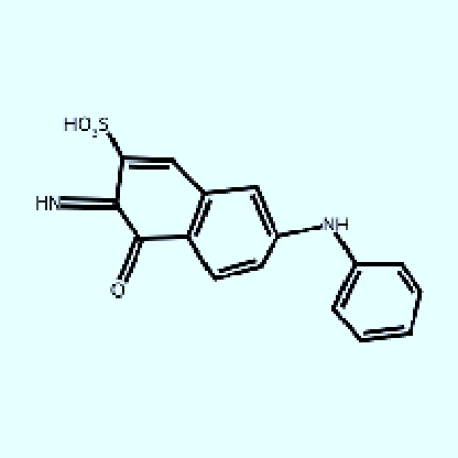 N=C1C(=O)c2ccc(Nc3ccccc3)cc2C=C1S(=O)(=O)O